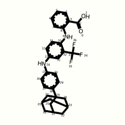 O=C(O)c1ccccc1Nc1ccc(Nc2ccc(C34CC5CC(CC(C5)C3)C4)cc2)cc1C(F)(F)F